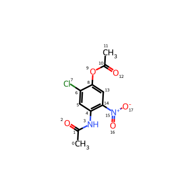 CC(=O)Nc1cc(Cl)c(OC(C)=O)cc1[N+](=O)[O-]